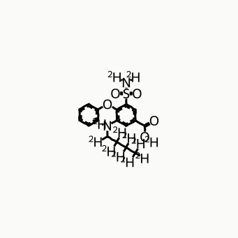 [2H]OC(=O)c1cc(N([2H])C([2H])C([2H])([2H])C([2H])([2H])C([2H])([2H])[2H])c(Oc2ccccc2)c(S(=O)(=O)N([2H])[2H])c1